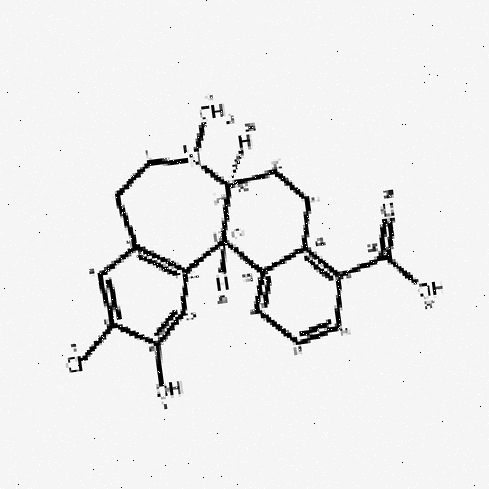 CN1CCc2cc(Cl)c(O)cc2[C@H]2c3cccc(C(=O)O)c3CC[C@@H]21